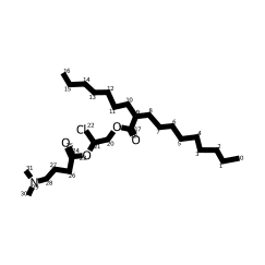 CCCCCCCCCC(CCCCCCC)C(=O)OCC(Cl)OC(=O)CCCN(C)C